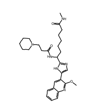 CNC(=O)CCCCCC(NC(=O)CCN1CCCCC1)c1ncc(-c2cc3ccccc3nc2OC)[nH]1